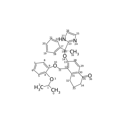 CC(C)Oc1ccccc1OCc1c(O[C@@](C)(c2ccccc2)c2ncc[nH]2)ccc2c1CCCC2=O